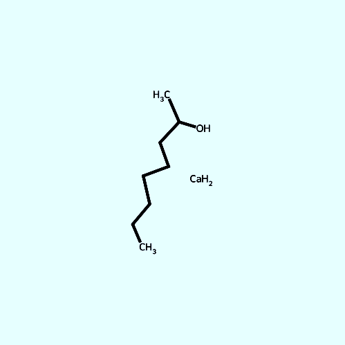 CCCCCCC(C)O.[CaH2]